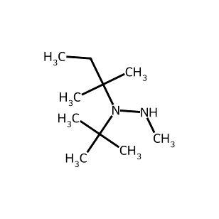 CCC(C)(C)N(NC)C(C)(C)C